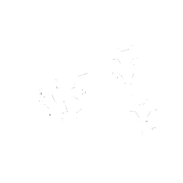 COC(=O)c1c(C)c2c(-c3c(C)nn(C)c3CO)c(Cl)ccc2n1CCCOc1cc(SCc2ccc(OC)cc2)cc2ccccc12